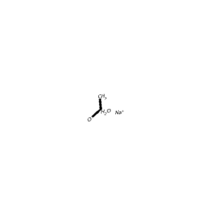 CC[O-].O.[Na+]